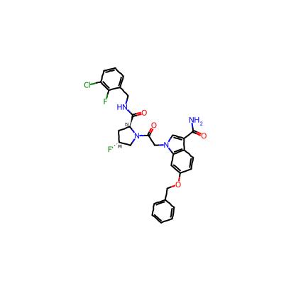 NC(=O)c1cn(CC(=O)N2C[C@H](F)C[C@H]2C(=O)NCc2cccc(Cl)c2F)c2cc(OCc3ccccc3)ccc12